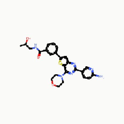 CC(O)CNC(=O)c1cccc(-c2cc3nc(-c4ccc(N)nc4)nc(N4CCOCC4)c3s2)c1